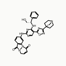 O=C1C=CCn2c(=O)c3ccc(Nc4ncc(-c5nc(C67CCN(CC6)CC7)no5)c(N[C@H](CO)c5ccccc5)n4)cc3n21